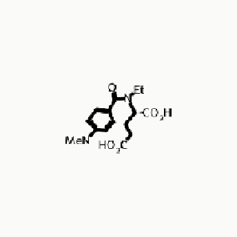 CCN(C(=O)c1ccc(NC)cc1)[C@@H](CCC(=O)O)C(=O)O